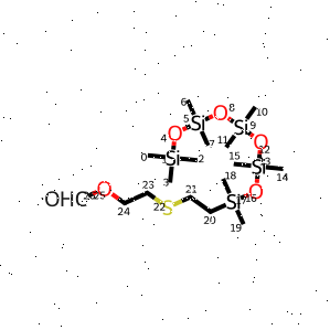 C[Si](C)(C)O[Si](C)(C)O[Si](C)(C)O[Si](C)(C)O[Si](C)(C)CCSCCO[C]=O